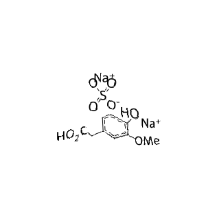 COc1cc(CC(=O)O)ccc1O.O=S(=O)([O-])[O-].[Na+].[Na+]